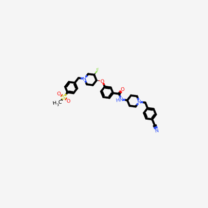 CS(=O)(=O)c1ccc(CN2CC[C@@H](Oc3cccc(C(=O)NC4CCN(Cc5ccc(C#N)cc5)CC4)c3)[C@H](F)C2)cc1